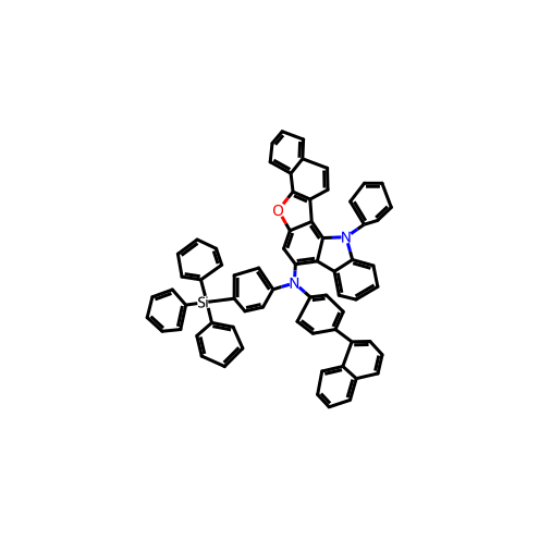 c1ccc(-n2c3ccccc3c3c(N(c4ccc(-c5cccc6ccccc56)cc4)c4ccc([Si](c5ccccc5)(c5ccccc5)c5ccccc5)cc4)cc4oc5c6ccccc6ccc5c4c32)cc1